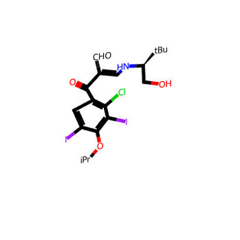 CC(C)Oc1c(I)cc(C(=O)C(C=O)=CN[C@H](CO)C(C)(C)C)c(Cl)c1I